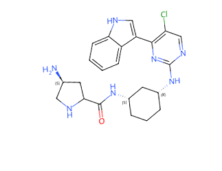 N[C@@H]1CNC(C(=O)N[C@H]2CCC[C@@H](Nc3ncc(Cl)c(-c4c[nH]c5ccccc45)n3)C2)C1